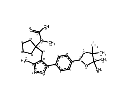 Cc1noc(-c2ccc(B3OC(C)(C)C(C)(C)O3)cc2)c1CC1(N(C)C(=O)O)CCCC1